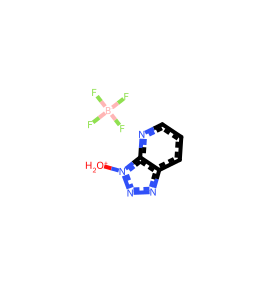 F[B-](F)(F)F.[OH2+]n1nnc2cccnc21